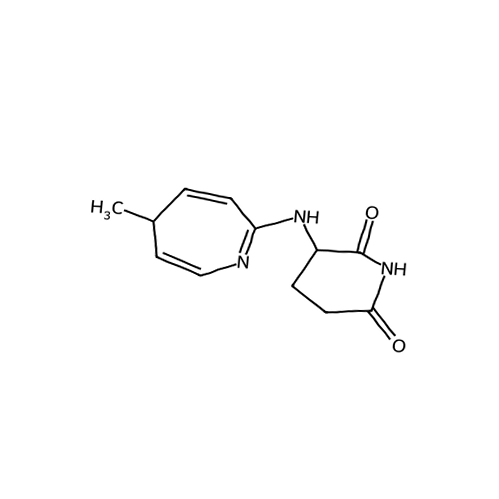 CC1C=CN=C(NC2CCC(=O)NC2=O)C=C1